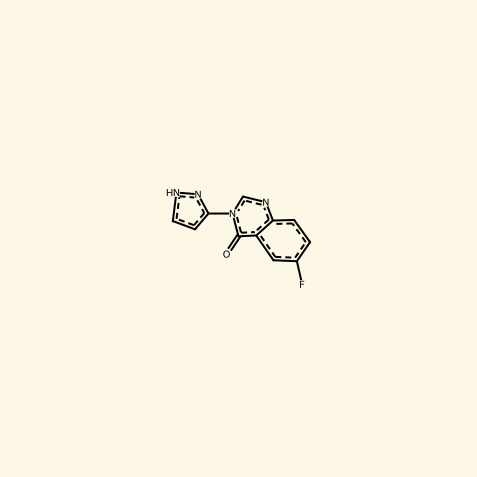 O=c1c2cc(F)ccc2ncn1-c1cc[nH]n1